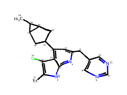 CCc1[nH]c2nc(Cc3cncnc3)cc(C3CC4C(C)C4C3)c2c1Cl